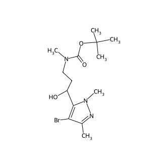 Cc1nn(C)c(C(O)CCN(C)C(=O)OC(C)(C)C)c1Br